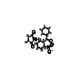 O=C(c1ccccc1)c1ccccc1[N+](=O)[O-].O=C1C=CC(=O)N1